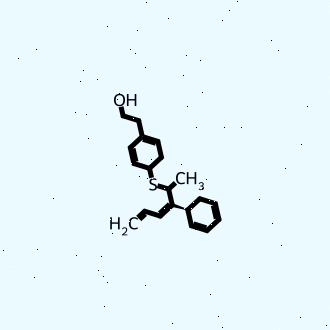 C=C/C=C(\C(C)SC1C=CC(CCO)=CC1)[C@@H]1C=CC=CC1